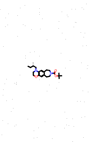 CC[C@H](C)CN1CCOc2cc3c(cc21)CCN(C(=O)OC(C)(C)C)CC3